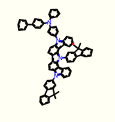 CC1(C)c2ccccc2-c2ccc(-n3c4ccccc4c4c3ccc3c5ccc6c(c7ccccc7n6-c6ccc(N(c7ccccc7)c7ccc(-c8ccccc8)cc7)cc6)c5n(-c5ccc6c(c5)C(C)(C)c5ccccc5-6)c34)cc21